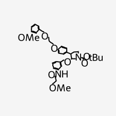 COCCC(=O)Nc1cccc(COC2CN(C(=O)OC(C)(C)C)CCC2c2ccc(OCCCOCc3ccccc3OC)cc2)c1